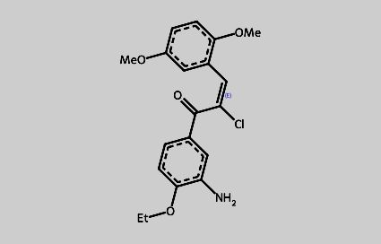 CCOc1ccc(C(=O)/C(Cl)=C\c2cc(OC)ccc2OC)cc1N